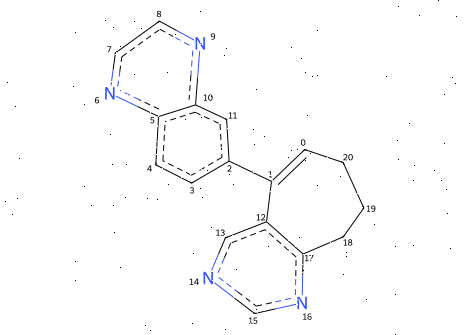 C1=C(c2ccc3nccnc3c2)c2cncnc2CCC1